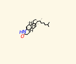 CC(C)CCC[C@@H](C)[C@H]1CC[C@H]2[C@@H]3[C@@H](C)C=C4NC(=O)CC[C@]4(C)[C@H]3CC[C@]12C